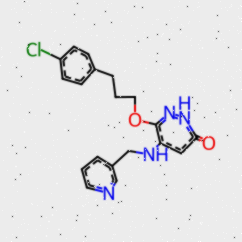 O=c1cc(NCc2cccnc2)c(OCCCc2ccc(Cl)cc2)n[nH]1